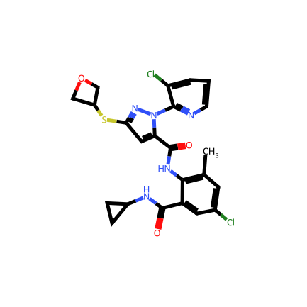 Cc1cc(Cl)cc(C(=O)NC2CC2)c1NC(=O)c1cc(SC2COC2)nn1-c1ncccc1Cl